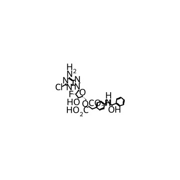 Nc1nc(Cl)nc2c1ncn2[C@@H]1O[C@H](COC(Cc2ccc(NC(O)c3ccccc3)cc2)(C(=O)O)C(=O)O)[C@@H](O)[C@@H]1F